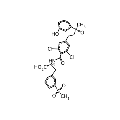 CP(=O)(CCc1cc(Cl)c(C(=O)N[C@@H](Cc2cccc(S(C)(=O)=O)c2)C(=O)O)c(Cl)c1)c1cccc(O)c1